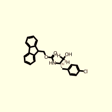 [2H]C([2H])(O)[C@H](Cc1ccc(Cl)cc1)NC(=O)OCC1c2ccccc2-c2ccccc21